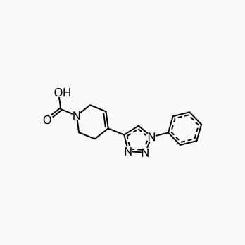 O=C(O)N1CC=C(c2cn(-c3ccccc3)nn2)CC1